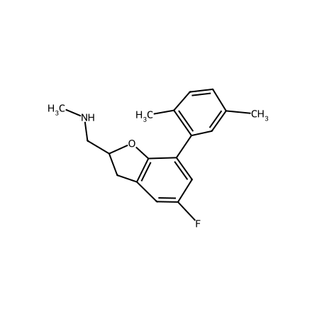 CNCC1Cc2cc(F)cc(-c3cc(C)ccc3C)c2O1